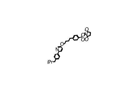 CC(C)Cc1ccc(-c2ccc(OCCCCc3ccc(C(=O)ON4C(=O)CCC4=O)cc3)cn2)cc1